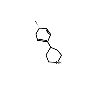 C[C@@H]1C=CC(C2CCNCC2)=CC1